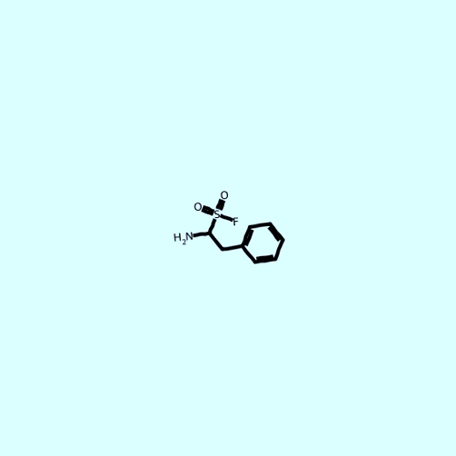 NC(Cc1ccccc1)S(=O)(=O)F